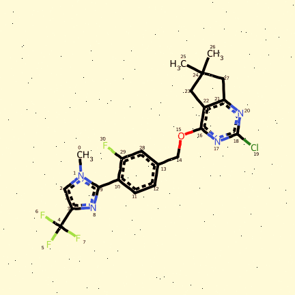 Cn1cc(C(F)(F)F)nc1-c1ccc(COc2nc(Cl)nc3c2CC(C)(C)C3)cc1F